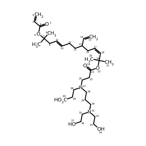 C=CC(=O)OC(C)(C)C/C=C/CCC(C=C)C/C=C\C(C)(C)OC(=O)CCN(CCCN(CCO)CCO)CCC(=O)O